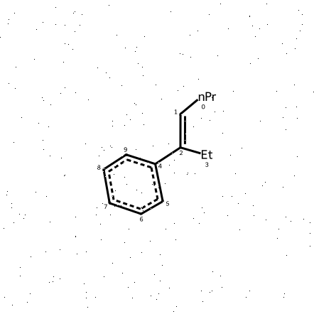 CCCC=C(CC)c1ccccc1